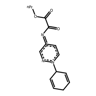 CCCOC(=O)C(=O)N=c1ccn(C2C=CCC=C2)nc1